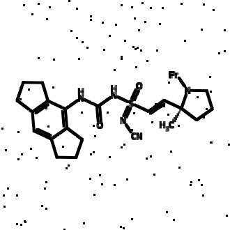 CC(C)N1CCC[C@@]1(C)/C=C/S(=O)(=NC#N)NC(=O)Nc1c2c(cc3c1CCC3)CCC2